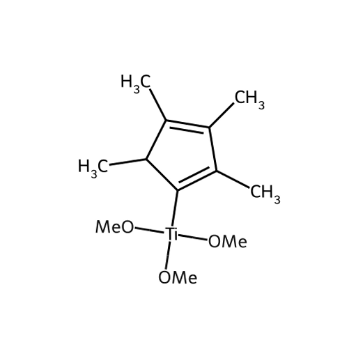 C[O][Ti]([O]C)([O]C)[C]1=C(C)C(C)=C(C)C1C